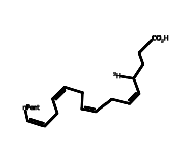 [2H]C(/C=C\C/C=C\C/C=C\C/C=C\CCCCC)CCC(=O)O